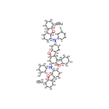 Cc1cccc(N(c2ccc3c(c2)oc2cc(N(c4cccc(C)c4)c4cccc5c4oc4c(C(C)(C)C)cccc45)c4oc5ccccc5c4c23)c2cccc3c2oc2c(C(C)(C)C)cccc23)c1